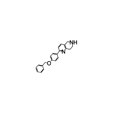 c1ccc(COc2ccc(-c3ccc4c(n3)CCNC4)cc2)cc1